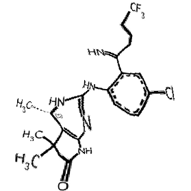 C[C@@H]1NC(Nc2ccc(Cl)cc2C(=N)CCC(F)(F)F)=NC2=C1C(C)(C)C(=O)N2